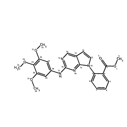 COC(=O)c1ccccc1-n1ccc2cnc(Nc3cc(OC)c(OC)c(OC)c3)nc21